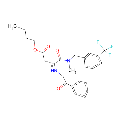 CCCCOC(=O)C[C@@H](NCC(=O)c1ccccc1)C(=O)N(C)Cc1cccc(C(F)(F)F)c1